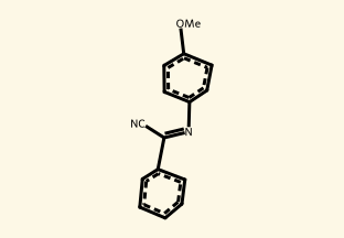 COc1ccc(/N=C(\C#N)c2ccccc2)cc1